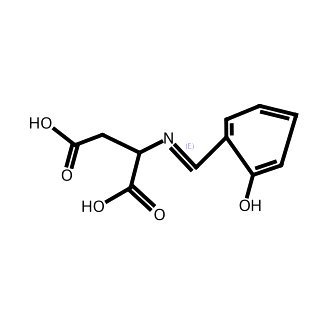 O=C(O)CC(/N=C/c1ccccc1O)C(=O)O